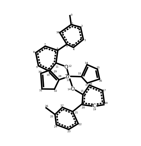 Cc1cccc(-c2ccccc2[O][Zr]([O]c2ccccc2-c2cccc(C)c2)([C]2=CC=CC2)[C]2=CC=CC2)c1